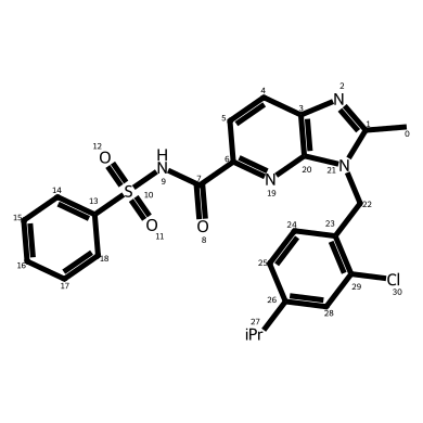 Cc1nc2ccc(C(=O)NS(=O)(=O)c3ccccc3)nc2n1Cc1ccc(C(C)C)cc1Cl